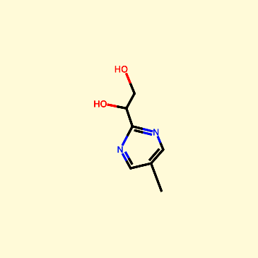 Cc1cnc(C(O)CO)nc1